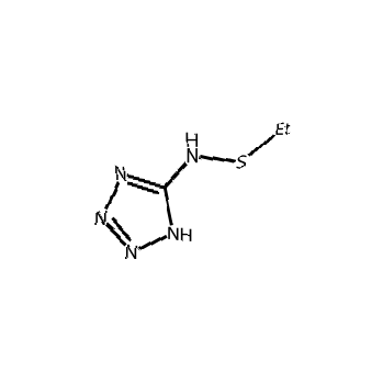 CCSNc1nnn[nH]1